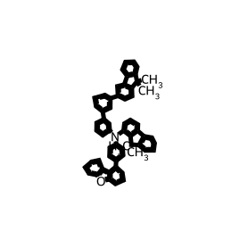 CC1(C)c2ccccc2-c2cc(-c3cccc(-c4cccc(N(c5ccc(-c6cccc7oc8ccccc8c67)cc5)c5cccc6c5C(C)(C)c5ccccc5-6)c4)c3)ccc21